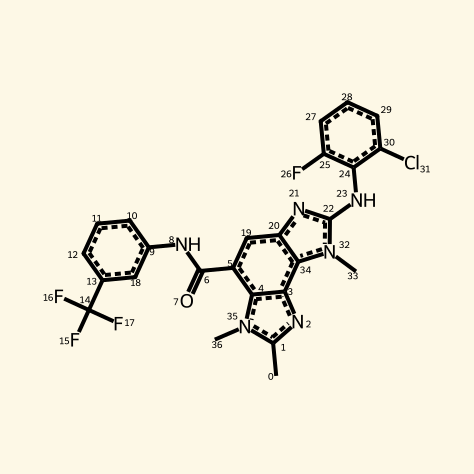 Cc1nc2c(c(C(=O)Nc3cccc(C(F)(F)F)c3)cc3nc(Nc4c(F)cccc4Cl)n(C)c32)n1C